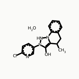 CC1Cc2ccccc2N2NN(c3ccc(Cl)nc3)C(O)=C12.O